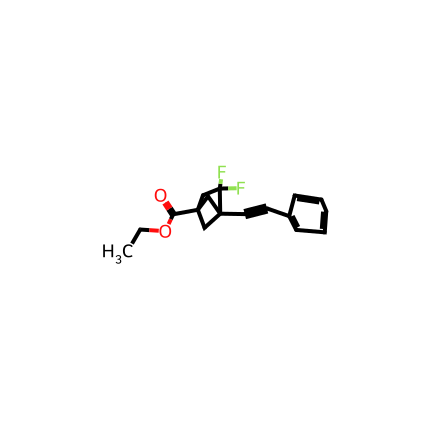 CCOC(=O)C12CC(F)(F)C(C#Cc3ccccc3)(C1)C2